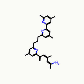 C=C(/C=C(C)\C=C(\C)N)c1cc(C)cc(CCCc2cc(C)cc(-c3cc(C)cc(C)n3)n2)n1